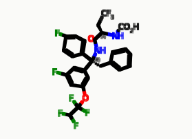 O=C(O)N[C@H](CC(F)(F)F)C(=O)N[C@](Cc1ccccc1)(c1ccc(F)cc1)c1cc(F)cc(OC(F)(F)C(F)F)c1